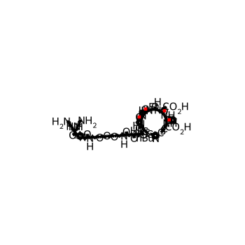 CCCC[C@H](NC(=O)CCC(=O)NCCCOCCOCCOCCCNC(=O)CN1CCN(C(=O)C(CNCCN)CNCCN)CC1)C(=O)N[C@H]1CSCc2cncc(c2)CSC[C@@H](C(=O)O)NC(=O)[C@H](Cc2ccccc2)NC(=O)[C@H](CCC(=O)O)NC(=O)[C@H](CC)NC(=O)[C@@H]2CCCN2C(=O)[C@@H]2CCCN2C1=O